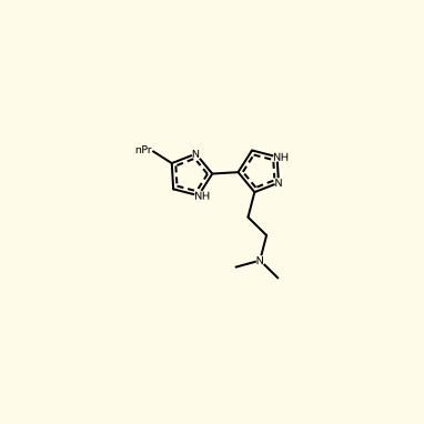 CCCc1c[nH]c(-c2c[nH]nc2CCN(C)C)n1